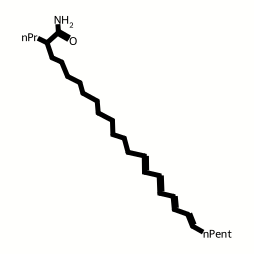 CCCCCC=CC=CC=CC=CCCCCCCCCCCCC(CCC)C(N)=O